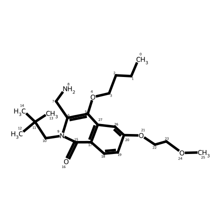 CCCCOc1c(CN)n(CC(C)(C)C)c(=O)c2ccc(OCCOC)cc12